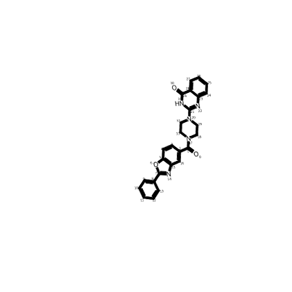 O=C(c1ccc2oc(-c3ccccc3)nc2c1)N1CCN(c2nc3ccccc3c(=O)[nH]2)CC1